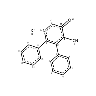 N#Cc1c(-c2ccccc2)c(-c2ccccc2)n[n-]c1=O.[K+]